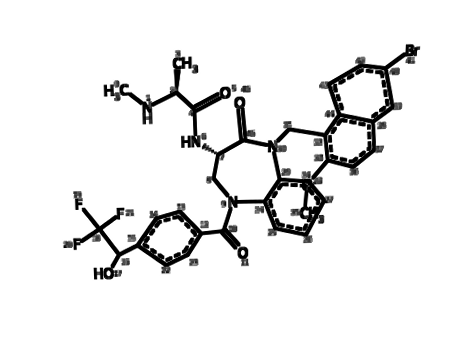 CN[C@@H](C)C(=O)N[C@H]1CN(C(=O)c2ccc(C(O)C(F)(F)F)cc2)c2ccccc2N(Cc2c(OC)ccc3cc(Br)ccc23)C1=O